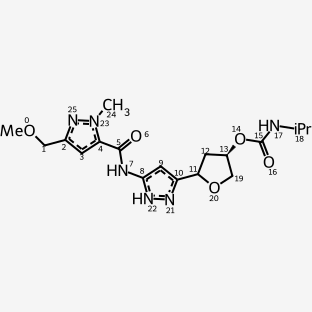 COCc1cc(C(=O)Nc2cc(C3C[C@@H](OC(=O)NC(C)C)CO3)n[nH]2)n(C)n1